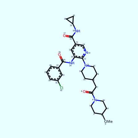 COC1CCN(C(=O)CC2CCN(c3ncc(C(=O)NC4CC4)cc3NC(=O)c3cccc(Cl)c3)CC2)CC1